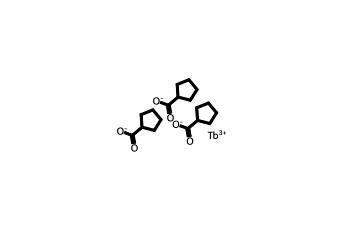 O=C([O-])C1CCCC1.O=C([O-])C1CCCC1.O=C([O-])C1CCCC1.[Tb+3]